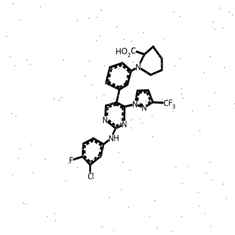 O=C(O)C1CCCCN1c1cccc(-c2cnc(Nc3ccc(F)c(Cl)c3)nc2-n2ccc(C(F)(F)F)n2)c1